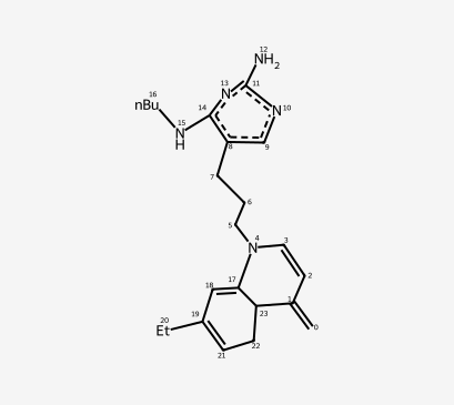 C=C1C=CN(CCCc2cnc(N)nc2NCCCC)C2=CC(CC)=CCC12